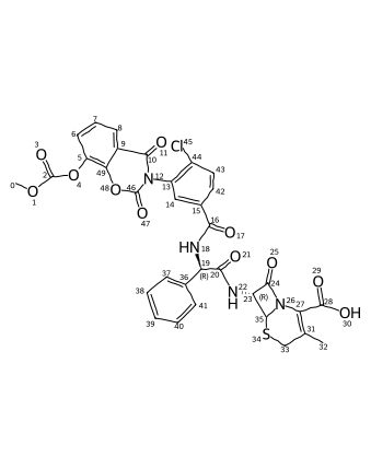 COC(=O)Oc1cccc2c(=O)n(-c3cc(C(=O)N[C@@H](C(=O)N[C@@H]4C(=O)N5C(C(=O)O)=C(C)CSC45)c4ccccc4)ccc3Cl)c(=O)oc12